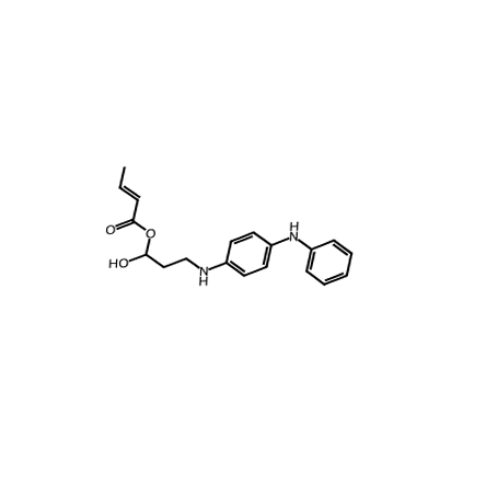 CC=CC(=O)OC(O)CCNc1ccc(Nc2ccccc2)cc1